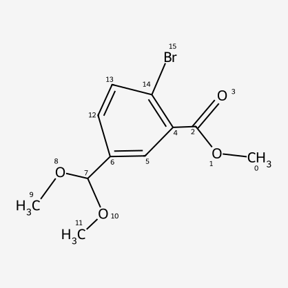 COC(=O)c1cc(C(OC)OC)ccc1Br